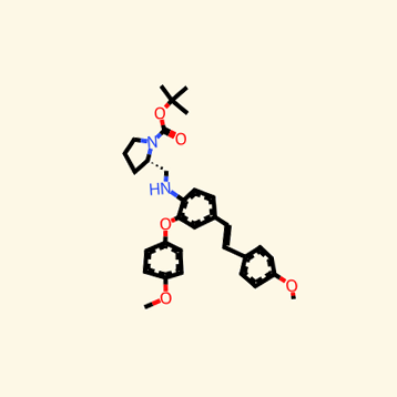 COc1ccc(C=Cc2ccc(NC[C@@H]3CCCN3C(=O)OC(C)(C)C)c(Oc3ccc(OC)cc3)c2)cc1